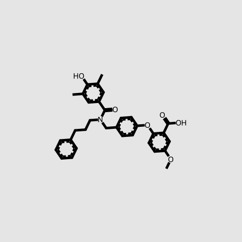 COc1ccc(Oc2ccc(CN(CCCc3ccccc3)C(=O)c3cc(C)c(O)c(C)c3)cc2)c(C(=O)O)c1